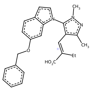 CC/C(=C\c1c(C)nn(C)c1-n1ccc2ccc(OCc3ccccc3)cc21)C(=O)O